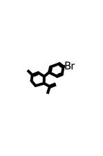 C=C(C)C1CCC(C)=CC1c1ccc(Br)cc1